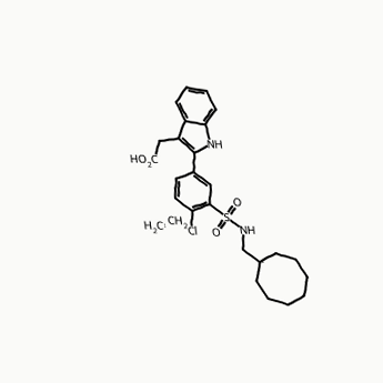 O=C(O)Cc1c(-c2ccc(Cl)c(S(=O)(=O)NC[C]3CCCCCCC3)c2)[nH]c2ccccc12.[CH2].[CH2]